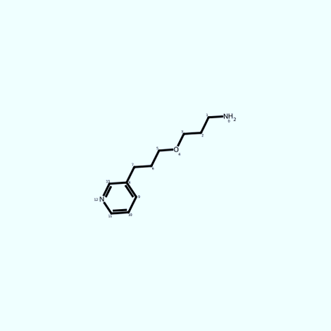 NCCCOCCCc1cccnc1